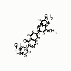 CC[C@@H]1C[C@H](n2ncc3cc(-c4cc(C)c5nc(C)cn5n4)ccc3c2=O)CCN1